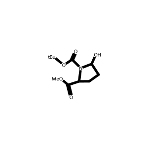 COC(=O)C1CCC(O)N1C(=O)OC(C)(C)C